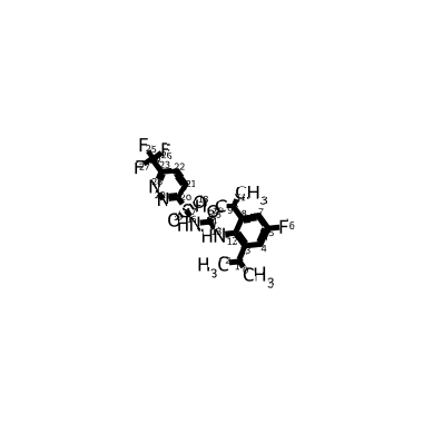 CC(C)c1cc(F)cc(C(C)C)c1NC(=O)NS(=O)(=O)c1ccc(C(F)(F)F)nn1